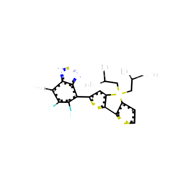 CCCCC(CC)CS1(CC(CC)CCCC)c2ccsc2-c2sc(-c3c(F)c(F)c(C(C)(C)C)c4nsnc34)cc21